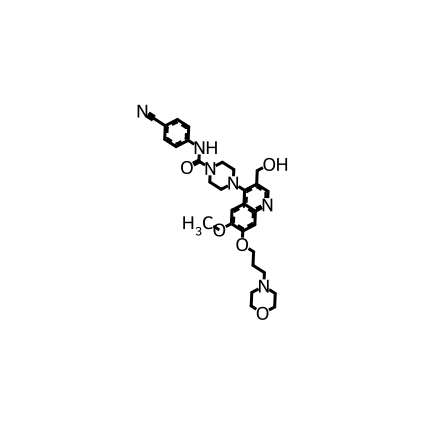 COc1cc2c(N3CCN(C(=O)Nc4ccc(C#N)cc4)CC3)c(CO)cnc2cc1OCCCN1CCOCC1